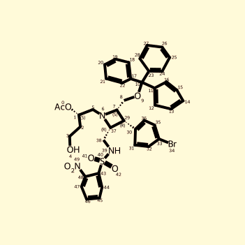 CC(=O)O[C@@H](CCO)CN1[C@H](COC(c2ccccc2)(c2ccccc2)c2ccccc2)[C@H](c2ccc(Br)cc2)[C@@H]1CNS(=O)(=O)c1ccccc1[N+](=O)[O-]